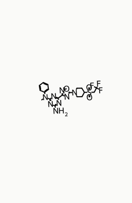 CN(c1ccccc1)c1nc(N)nc(-c2noc(N3CCC(S(=O)(=O)CC(F)(F)F)CC3)n2)n1